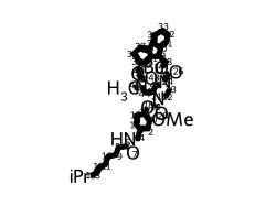 COc1cc(CNC(=O)CCCC/C=C/C(C)C)ccc1OC(=O)N1CCN(C(=O)OCC2c3ccccc3-c3ccccc32)CC1CN(C)C(=O)OC(C)(C)C